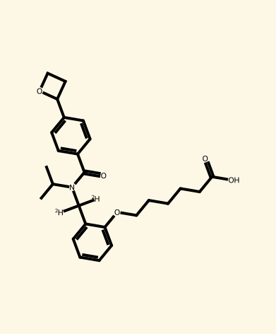 [2H]C([2H])(c1ccccc1OCCCCCC(=O)O)N(C(=O)c1ccc(C2CCO2)cc1)C(C)C